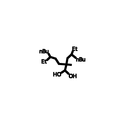 CCCCC(CC)CCC(C)(CC(CC)CCCC)C(O)O